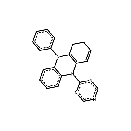 C1=CC2=C(CC1)N(c1ccccc1)c1ccccc1N2c1ncncn1